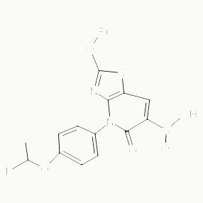 CCOc1nc2c(cc(B(O)O)c(=O)n2-c2ccc(OC(F)F)cc2)s1